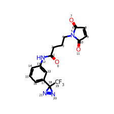 O=C(CCCN1C(=O)C=CC1=O)Nc1cccc(C2(C(F)(F)F)N=N2)c1